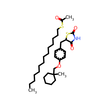 CC1(COc2ccc(CC3SC(=O)NC3=O)cc2)CCCCC1.CCCCCCCCCCCCCCSC(C)=O